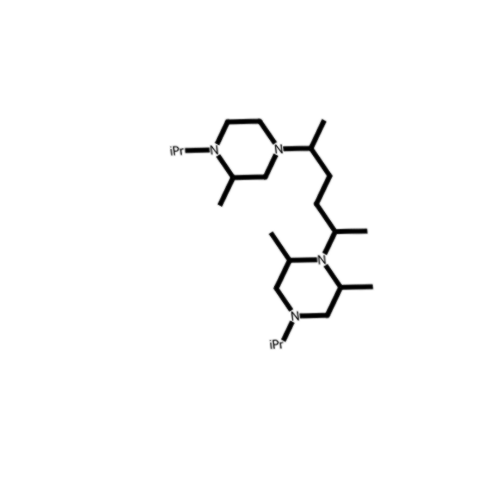 CC(C)N1CC(C)N(C(C)CCC(C)N2CCN(C(C)C)C(C)C2)C(C)C1